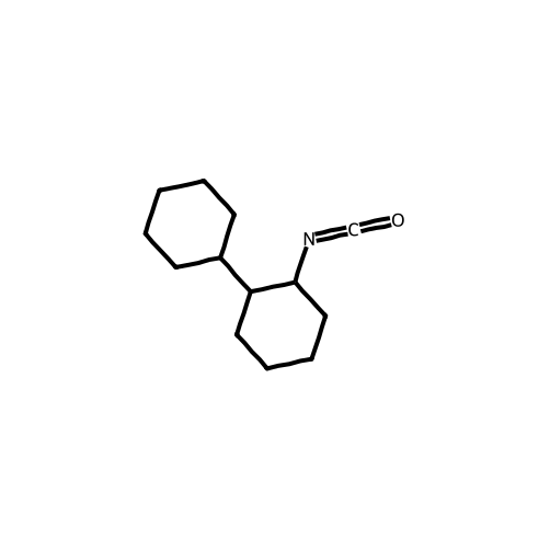 O=C=NC1CCCCC1C1CCCCC1